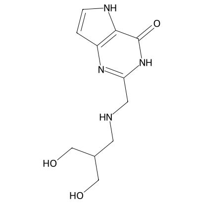 O=c1[nH]c(CNCC(CO)CO)nc2cc[nH]c12